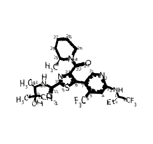 CC[C@H](Nc1cc(C(F)(F)F)c(-c2sc(C(=O)N[C@H](C)C(C)(C)O)nc2C(=O)N2CCCC[C@@H]2C)cn1)C(F)(F)F